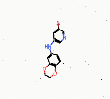 Brc1cncc(Nc2ccc3c(c2)OCCO3)c1